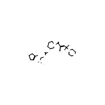 CC(C)(C=C(C#N)C(=O)N1CCC[C@H](OC(=O)N[C@@H](CC2=CCCC2)B(O)O)C1)N1CCOCC1